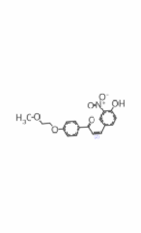 COCCOc1ccc(C(=O)/C=C\c2ccc(O)c([N+](=O)[O-])c2)cc1